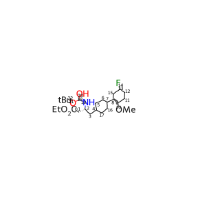 CCOC(=O)C[C@@H](CC1CCC(C2=C(OC)CCC(F)C2)CC1)NC(O)OC(C)(C)C